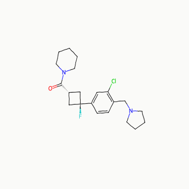 O=C([C@H]1C[C@@](F)(c2ccc(CN3CCCC3)c(Cl)c2)C1)N1CCCCC1